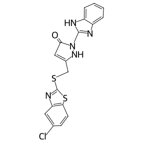 O=c1cc(CSc2nc3cc(Cl)ccc3s2)[nH]n1-c1nc2ccccc2[nH]1